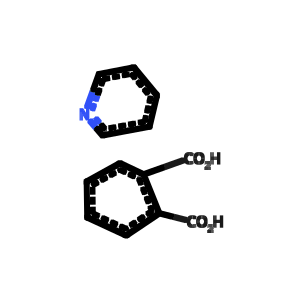 O=C(O)c1ccccc1C(=O)O.c1ccncc1